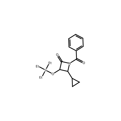 CC[Si](CC)(CC)OC1C(=O)N(C(=O)c2ccccc2)C1C1CC1